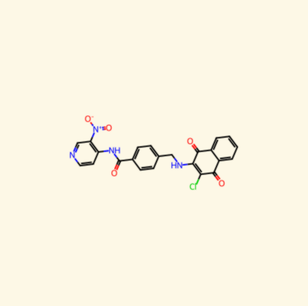 O=C(Nc1ccncc1[N+](=O)[O-])c1ccc(CNC2=C(Cl)C(=O)c3ccccc3C2=O)cc1